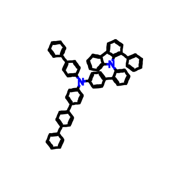 c1ccc(-c2ccc(-c3ccc(N(c4ccc(-c5ccccc5)cc4)c4ccc(-c5ccccc5-n5c6ccccc6c6cccc(-c7ccccc7)c65)cc4)cc3)cc2)cc1